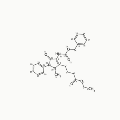 CCOC(=O)CCCc1c(NC(=O)OCc2ccccc2)c(=O)n(-c2ccccc2)n1C